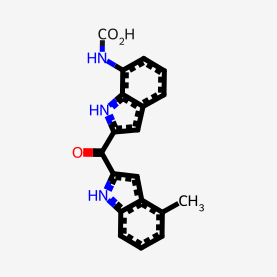 Cc1cccc2[nH]c(C(=O)c3cc4cccc(NC(=O)O)c4[nH]3)cc12